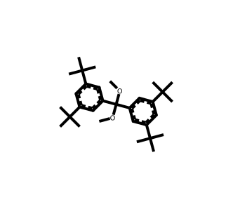 COC(OC)(c1cc(C(C)(C)C)cc(C(C)(C)C)c1)c1cc(C(C)(C)C)cc(C(C)(C)C)c1